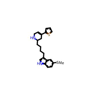 CSc1ccc2[nH]cc(CCCCC3CC(c4cccs4)=CCN3)c2c1